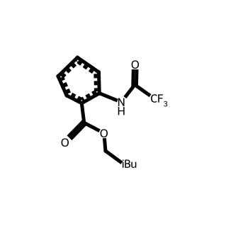 CCC(C)COC(=O)c1ccccc1NC(=O)C(F)(F)F